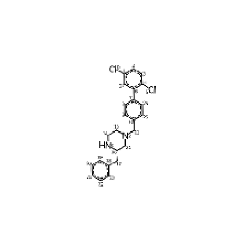 Clc1ccc(Cl)c(-c2ccc(CN3CCN[C@H](Cc4ccccc4)C3)cc2)c1